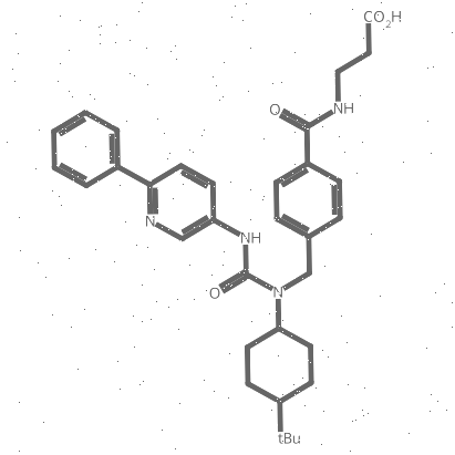 CC(C)(C)C1CCC(N(Cc2ccc(C(=O)NCCC(=O)O)cc2)C(=O)Nc2ccc(-c3ccccc3)nc2)CC1